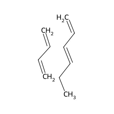 C=CC=C.C=CC=CCC